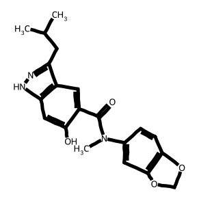 CC(C)Cc1n[nH]c2cc(O)c(C(=O)N(C)c3ccc4c(c3)OCO4)cc12